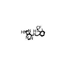 FC(F)(F)Sc1ccccc1CNc1ncnc2[nH]cnc12